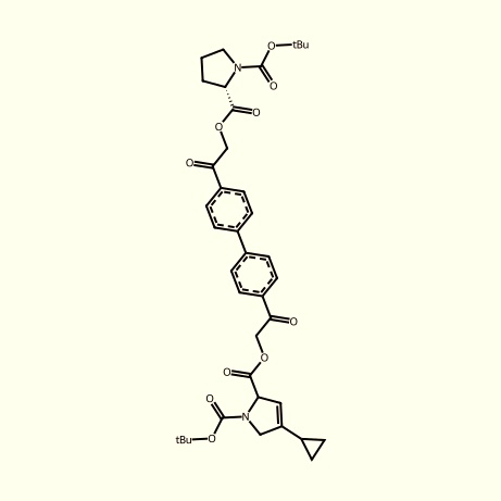 CC(C)(C)OC(=O)N1CC(C2CC2)=CC1C(=O)OCC(=O)c1ccc(-c2ccc(C(=O)COC(=O)[C@@H]3CCCN3C(=O)OC(C)(C)C)cc2)cc1